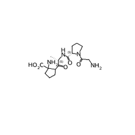 C[C@H](NC(=O)[C@@H]1CCCN1C(=O)CN)C(=O)C1CCCC1(N)C(=O)O